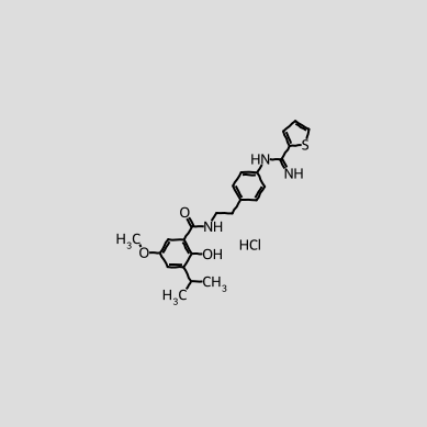 COc1cc(C(=O)NCCc2ccc(NC(=N)c3cccs3)cc2)c(O)c(C(C)C)c1.Cl